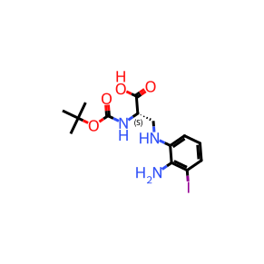 CC(C)(C)OC(=O)N[C@@H](CNc1cccc(I)c1N)C(=O)O